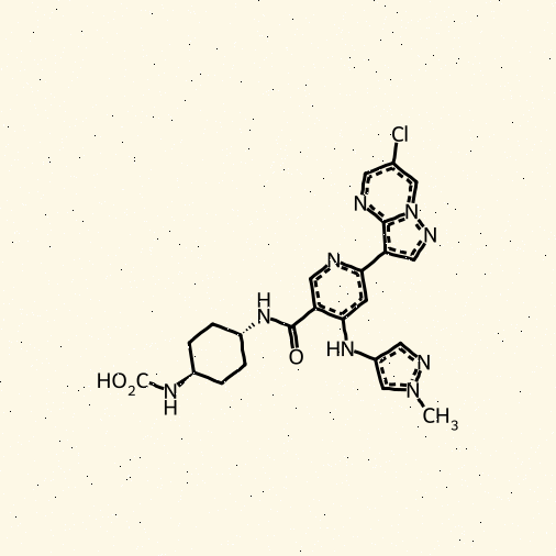 Cn1cc(Nc2cc(-c3cnn4cc(Cl)cnc34)ncc2C(=O)N[C@H]2CC[C@H](NC(=O)O)CC2)cn1